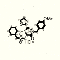 COc1ccc(CNC(=O)[C@H](CS(=O)(=O)CC2CCCCC2)NC(=O)[C@H]2NCCS2)cc1.Cl